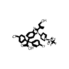 C=C(CO)c1nc2ccc(C(C(=O)O)(c3ccc(Cl)cc3)c3ccc(Cl)cc3)cc2n1C1CCN(S(=O)(=O)C(F)(F)F)CC1